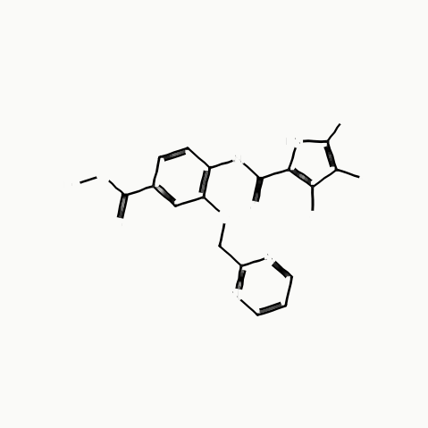 COC(=O)c1ccc(NC(=O)c2[nH]c(C)c(Cl)c2Cl)c(OCc2ncccn2)c1